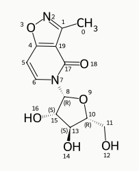 Cc1noc2ccn([C@@H]3O[C@H](CO)[C@@H](O)[C@@H]3O)c(=O)c12